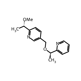 CO[C@@H](C)c1ccc(CO[C@H](C)c2ccccn2)cn1